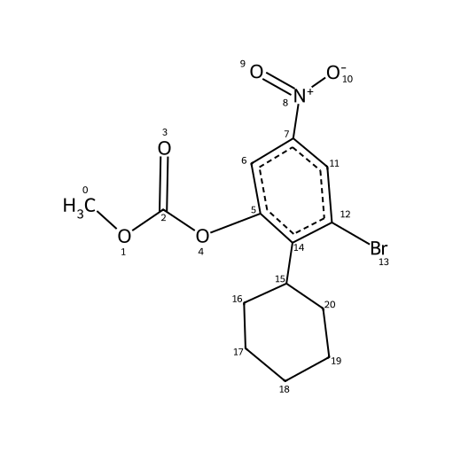 COC(=O)Oc1cc([N+](=O)[O-])cc(Br)c1C1CCCCC1